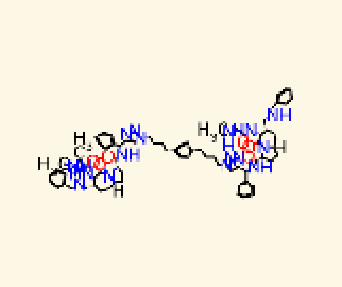 CNCC(=O)N[C@@H]1C(=O)N2[C@@H](CC[C@@H]1CNCc1ccccc1)CC[C@H]2C(=O)N[C@@H](c1ccccc1)c1cn(CCCCc2ccc(CCCCn3cc([C@@H](NC(=O)[C@@H]4CC[C@@H]5CC[C@H](CNCc6ccccc6)[C@H](NC(=O)[C@H](C)NC)C(=O)N54)c4ccccc4)nn3)cc2)nn1